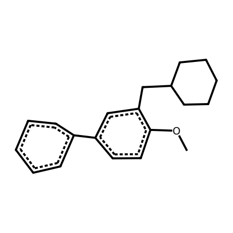 COc1ccc(-c2ccccc2)cc1CC1CCCCC1